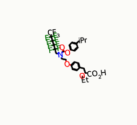 CCOC(Cc1ccc(OCCN(CC(F)(F)C(F)(F)C(F)(F)C(F)(F)C(F)(F)F)C(=O)Oc2ccc(C(C)C)cc2)cc1)C(=O)O